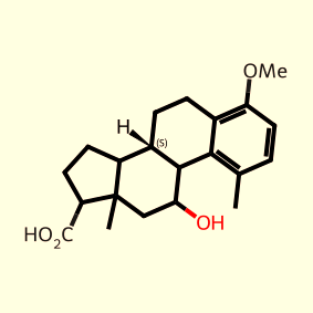 COc1ccc(C)c2c1CC[C@@H]1C2C(O)CC2(C)C(C(=O)O)CCC12